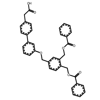 O=C(O)Cc1ccc(-c2cccc(OCc3ccc(COC(=O)c4ccccc4)c(COC(=O)c4ccccc4)c3)c2)cc1